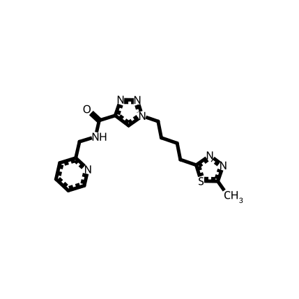 Cc1nnc(CCCCn2cc(C(=O)NCc3ccccn3)nn2)s1